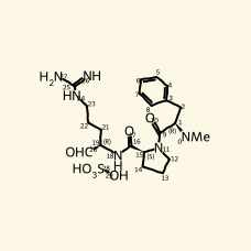 CN[C@H](Cc1ccccc1)C(=O)N1CCC[C@H]1C(=O)N[C@@H](C=O)CCCNC(=N)N.O=S(=O)(O)O